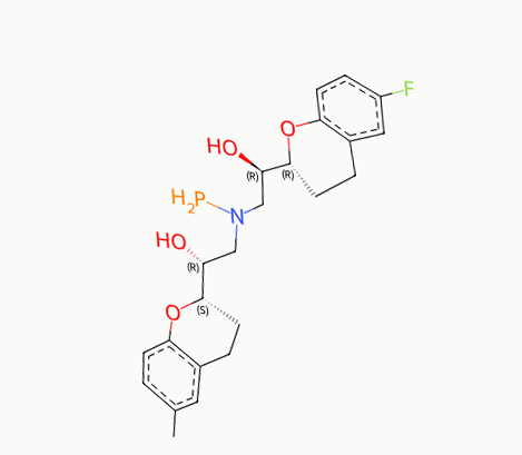 Cc1ccc2c(c1)CC[C@@H]([C@H](O)CN(P)C[C@@H](O)[C@H]1CCc3cc(F)ccc3O1)O2